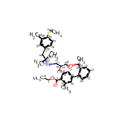 CCOC(=O)c1ccc(-c2ccccc2[C@@H](C)OC[C@@H](O)CNC(C)(C)Cc2ccc(SC)c(C)c2)cc1C